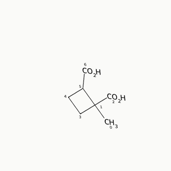 CC1(C(=O)O)CCC1C(=O)O